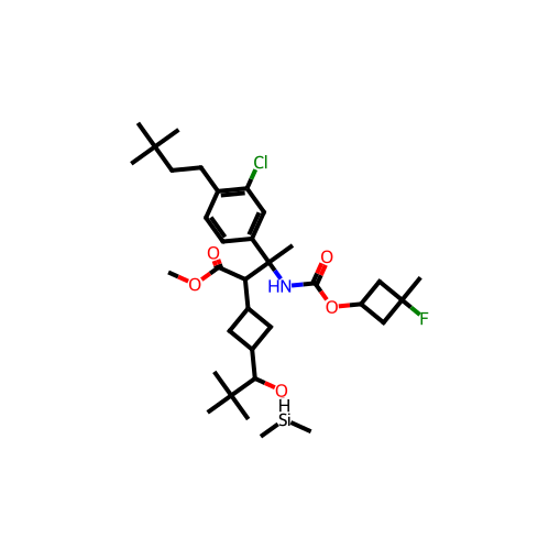 COC(=O)C(C1CC(C(O[SiH](C)C)C(C)(C)C)C1)C(C)(NC(=O)OC1CC(C)(F)C1)c1ccc(CCC(C)(C)C)c(Cl)c1